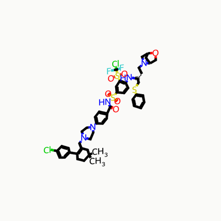 CC1(C)CCC(c2ccc(Cl)cc2)=C(CN2CCN(c3ccc(C(=O)NS(=O)(=O)c4ccc(N[C@H](CCN5CC6CC5CO6)CSc5ccccc5)c(S(=O)(=O)C(F)(F)Cl)c4)cc3)CC2)C1